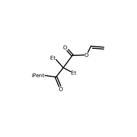 C=COC(=O)C(CC)(CC)C(=O)C(C)CCC